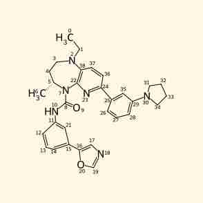 CCN1CC[C@@H](C)N(C(=O)Nc2cccc(-c3cnco3)c2)c2nc(-c3cccc(N4CCCC4)c3)ccc21